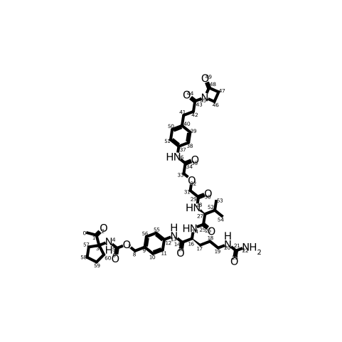 CC(=O)C1(NC(=O)OCc2ccc(NC(=O)[C@H](CCCNC(N)=O)NC(=O)[C@@H](NC(=O)COCC(=O)Nc3ccc(CCC(=O)N4CCC4=O)cc3)C(C)C)cc2)CCCC1